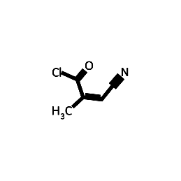 CC(=CC#N)C(=O)Cl